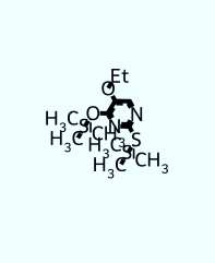 CCOc1cnc(S[Si](C)(C)C)nc1O[Si](C)(C)C